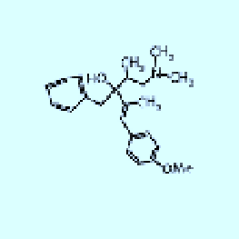 COc1ccc(/C=C(\C)C(O)(Cc2ccccc2)C(C)CN(C)C)cc1